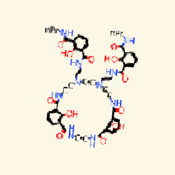 CCCNC(=O)c1cccc(C(=O)NCCN2CCNC(=O)c3cccc(c3O)C(=O)NCCNC(=O)c3cccc(c3O)C(=O)NCCN(CCNC(=O)c3cccc(C(=O)NCCC)c3O)CC2)c1O